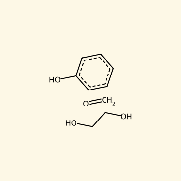 C=O.OCCO.Oc1ccccc1